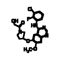 COc1cc2ncnc(Nc3cccc(Cl)c3F)c2cc1OC1CCN(C(=O)CO)C1